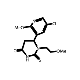 COCCN1C(=S)NC(=O)CC1c1cc(Cl)cnc1OC